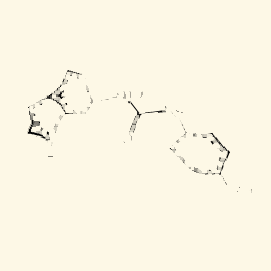 O=C(Nc1ccc(C(F)(F)F)cc1)Nc1cc2[nH]ccc2cn1